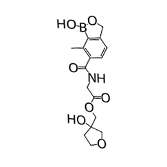 Cc1c(C(=O)NCC(=O)OCC2(O)CCOC2)ccc2c1B(O)OC2